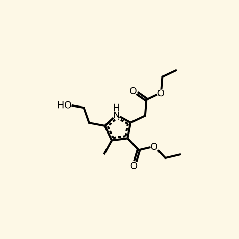 CCOC(=O)Cc1[nH]c(CCO)c(C)c1C(=O)OCC